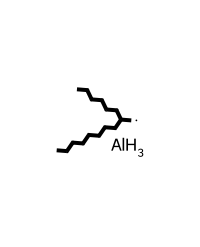 [AlH3].[CH2]C(CCCCCC)CCCCCCCC